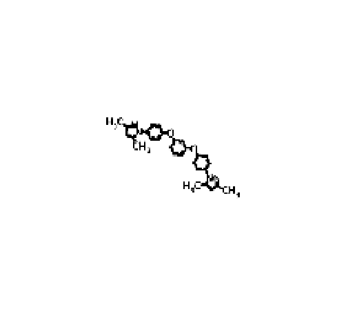 Cc1cc(C)n(-c2ccc(Oc3cccc(Oc4ccc(-n5nc(C)cc5C)cc4)c3)cc2)n1